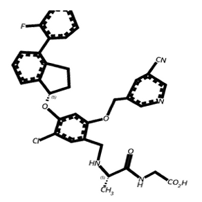 C[C@H](NCc1cc(Cl)c(O[C@H]2CCc3c(-c4ccccc4F)cccc32)cc1OCc1cncc(C#N)c1)C(=O)NCC(=O)O